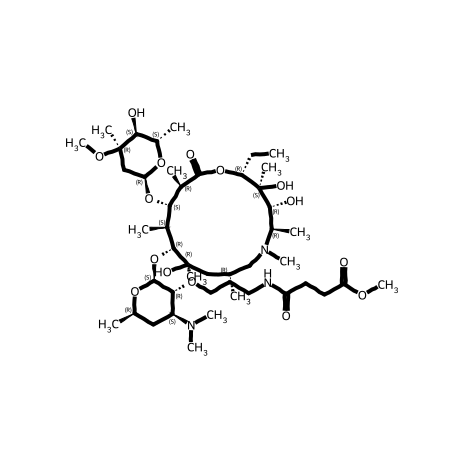 CC[C@H]1OC(=O)[C@H](C)[C@@H](O[C@H]2C[C@@](C)(OC)[C@@H](O)[C@H](C)O2)[C@H](C)[C@@H](O[C@@H]2O[C@H](C)C[C@H](N(C)C)[C@H]2OCCCNC(=O)CCC(=O)OC)[C@](C)(O)C[C@@H](C)CN(C)[C@H](C)[C@@H](O)[C@]1(C)O